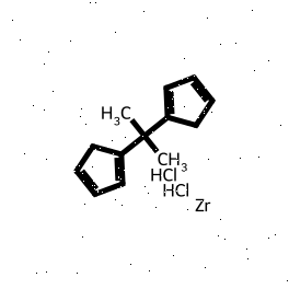 CC(C)(C1=CC=CC1)C1=CC=CC1.Cl.Cl.[Zr]